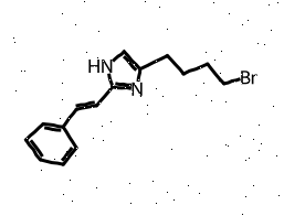 BrCCCCc1c[nH]c(C=Cc2ccccc2)n1